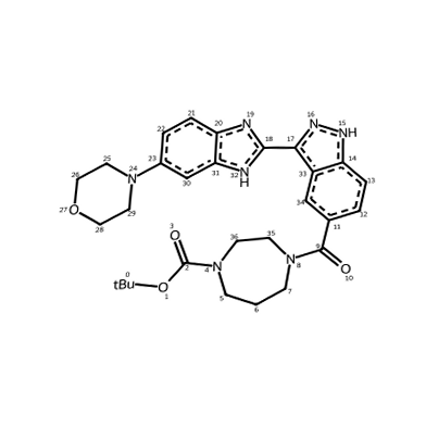 CC(C)(C)OC(=O)N1CCCN(C(=O)c2ccc3[nH]nc(-c4nc5ccc(N6CCOCC6)cc5[nH]4)c3c2)CC1